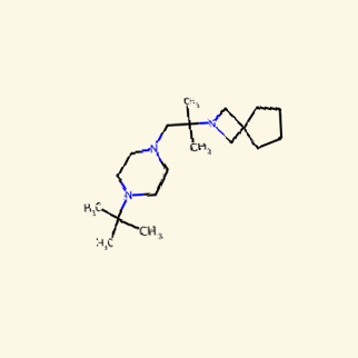 CC(C)(C)N1CCN(CC(C)(C)N2CC3(CCCC3)C2)CC1